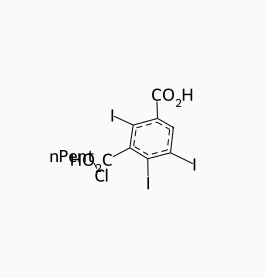 CCCCCCl.O=C(O)c1cc(I)c(I)c(C(=O)O)c1I